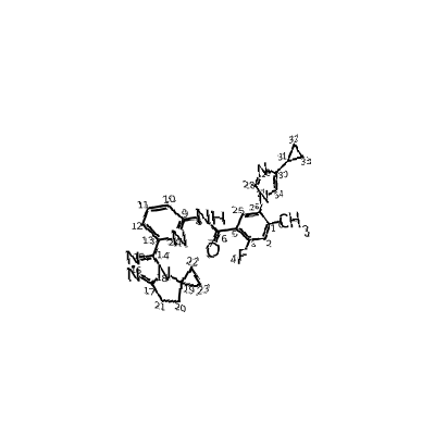 Cc1cc(F)c(C(=O)Nc2cccc(-c3nnc4n3C3(CC4)CC3)n2)cc1-n1cnc(C2CC2)c1